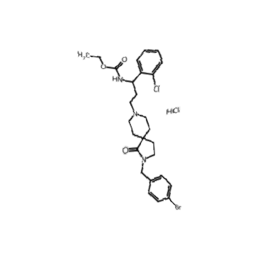 CCOC(=O)NC(CCN1CCC2(CC1)CCN(Cc1ccc(Br)cc1)C2=O)c1ccccc1Cl.Cl